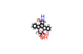 C[C@]12C[C@](O)(CO)[C@](C)(O1)C1c3ccccc3-c3c4c(c5c(c31)C2c1ccccc1-5)C(=O)NC4